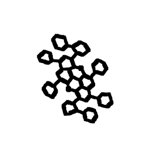 c1ccc(-c2ccccc2-c2cc(-c3ccccc3)c3cc(-c4ccccc4)c4oc5c(-c6ccccc6-c6ccccc6)cc(-c6ccccc6)c6cc(-c7ccccc7)c7oc2c3c4-c7c65)cc1